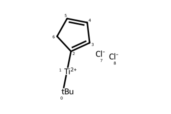 C[C](C)(C)[Ti+2][C]1=CC=CC1.[Cl-].[Cl-]